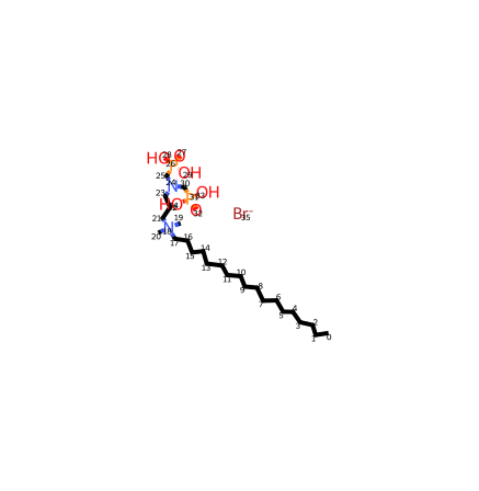 CCCCCCCCCCCCCCCCCC[N+](C)(C)CCCN(CP(=O)(O)O)CP(=O)(O)O.[Br-]